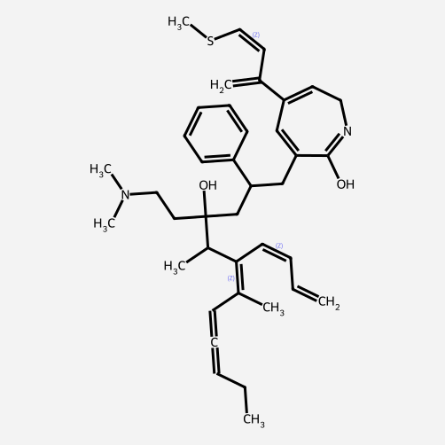 C=C/C=C\C(=C(/C)C=C=CCC)C(C)C(O)(CCN(C)C)CC(CC1=CC(C(=C)/C=C\SC)=CCN=C1O)c1ccccc1